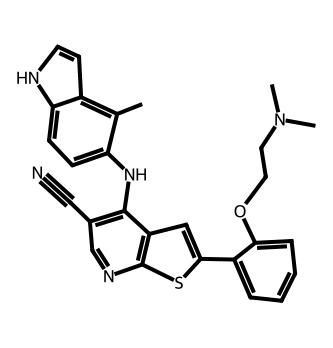 Cc1c(Nc2c(C#N)cnc3sc(-c4ccccc4OCCN(C)C)cc23)ccc2[nH]ccc12